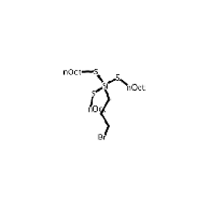 CCCCCCCCS[Si](CCCBr)(SCCCCCCCC)SCCCCCCCC